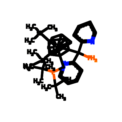 CC(C)(C)P(C[C]12[C]3(C(P)(c4ccccn4)c4ccccn4)[CH]4[C]5([Si](C)(C)C)[C]1([Si](C)(C)C)[Fe]42351678[CH]2[CH]1[CH]6[CH]7[CH]28)C(C)(C)C